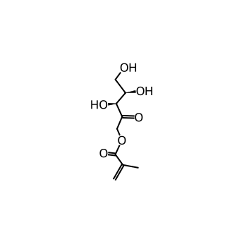 C=C(C)C(=O)OCC(=O)[C@@H](O)[C@H](O)CO